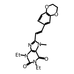 CCn1c(=O)c2c(nc(/C=C/c3ccc4c(c3)OCCO4)n2C)n(CC)c1=O